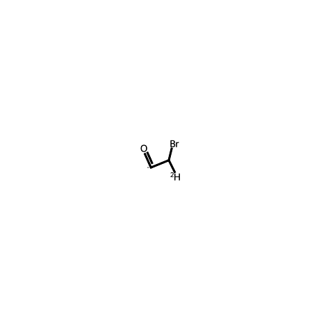 [2H]C(Br)[C]=O